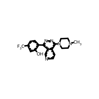 CN1CCN(c2nnc(-c3ccc(C(F)(F)F)cc3O)c3cnccc23)CC1